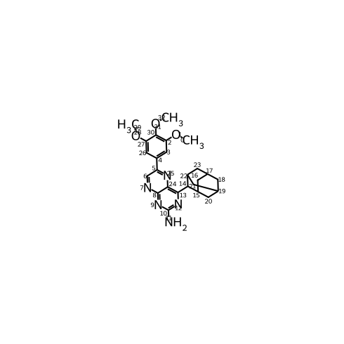 COc1cc(-c2cnc3nc(N)nc(C4C5CC6CC(C5)CC4C6)c3n2)cc(OC)c1OC